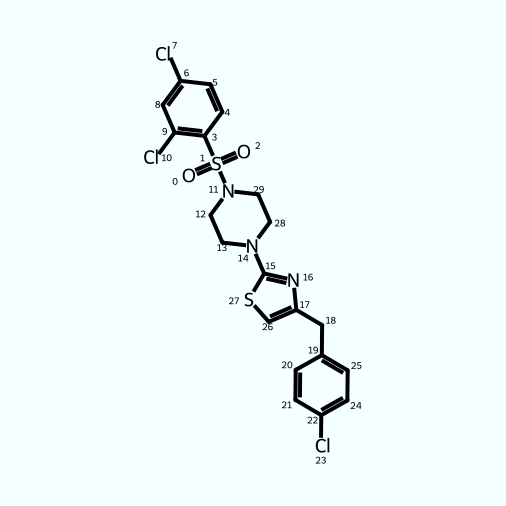 O=S(=O)(c1ccc(Cl)cc1Cl)N1CCN(c2nc(Cc3ccc(Cl)cc3)cs2)CC1